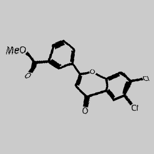 COC(=O)c1cccc(-c2cc(=O)c3cc(Cl)c(Cl)cc3o2)c1